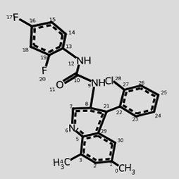 Cc1cc(C)c2ncc(NC(=O)Nc3ccc(F)cc3F)c(-c3ccccc3Cl)c2c1